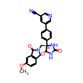 COc1ccc2c(c1)C(=O)N(C[C@@]1(c3ccc(-c4cncc(C#N)c4)cc3)NC(=O)NC1=O)C2